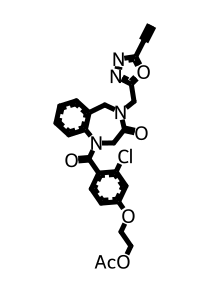 C#Cc1nnc(CN2Cc3ccccc3N(C(=O)c3ccc(OCCOC(C)=O)cc3Cl)CC2=O)o1